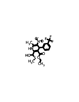 CCOC(=O)C1=C(C(O)SC)NC(C)=C([N+](=O)[O-])C1c1cccc(C(F)(F)F)c1